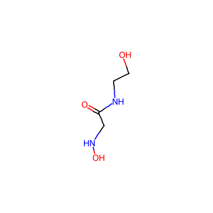 O=C(CNO)NCCO